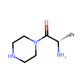 CC(C)[C@H](N)C(=O)N1CCNCC1